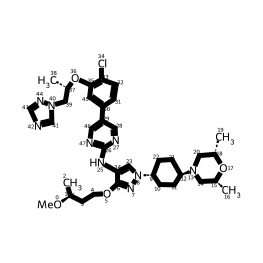 CO[C@@H](C)CCOc1nn([C@H]2CC[C@H](N3C[C@@H](C)O[C@@H](C)C3)CC2)cc1Nc1ncc(-c2ccc(Cl)c(O[C@@H](C)Cn3cncn3)c2)cn1